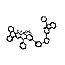 CC1(C)c2cc3c4ccccc4c4ccccc4c3cc2N(c2ccccc2)C2C=C(c3cccc(-c4cccc(-c5ccc6c(c5)c5ccccc5n6-c5ccccc5)c4)c3)C=CC21